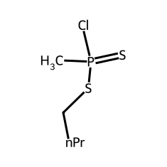 CCCCSP(C)(=S)Cl